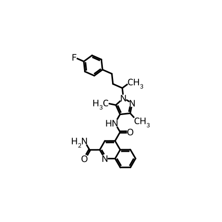 Cc1nn(C(C)CCc2ccc(F)cc2)c(C)c1NC(=O)c1cc(C(N)=O)nc2ccccc12